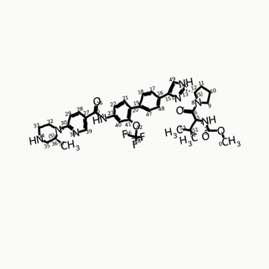 COC(=O)NC(C(=O)N1CCC[C@H]1c1nc(-c2ccc(-c3ccc(NC(=O)c4ccc(N5CCNC[C@@H]5C)nc4)cc3OC(F)(F)F)cc2)c[nH]1)C(C)C